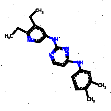 CCc1cc(Nc2nccc(Nc3ccc(C)c(C)c3)n2)cnc1CC